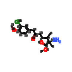 COC(=O)C(C)(N)C(C)CCC(=O)Cc1ccc(OC)c(Cl)c1